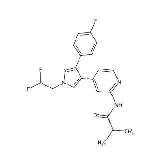 CC(C)C(=O)Nc1cc(-c2cn(CC(F)F)nc2-c2ccc(F)cc2)ccn1